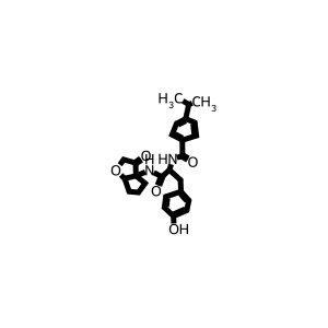 CC(C)c1ccc(C(=O)NC(Cc2ccc(O)cc2)C(=O)NC23CCCC2OCC3=O)cc1